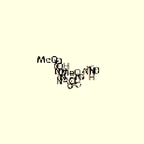 COC(=O)C[C@@H](O)CNCc1cnc2cc(-c3cccc(-c4cccc(-c5ccc(CNC[C@@H]6CCC(=O)N6)c(OC)n5)c4Cl)c3Cl)ccn2c1=O